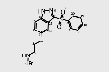 CC(C)NCCCc1ccc2[nH]nc(S(=O)(=O)c3ccccc3)c2c1